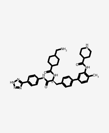 Cc1ccc(-c2ccc(C[C@H](NC(=O)C3CCC(CN)CC3)C(=O)Nc3ccc(-c4nn[nH]n4)cc3)cc2)cc1NC(=O)C1CCNCC1